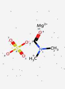 CN(C)C=O.O=S(=O)([O-])[O-].[Mg+2]